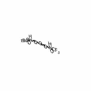 CC(C)(C)OC(=O)NCCOCCOCCOCCNC(=O)C(F)(F)F